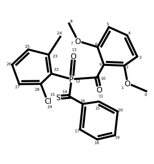 COc1cccc(OC)c1C(=O)P(=O)(C(=S)c1ccccc1)c1c(C)cccc1Cl